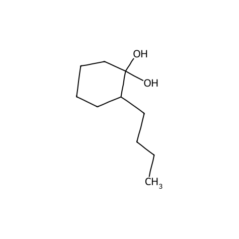 CCCCC1CCCCC1(O)O